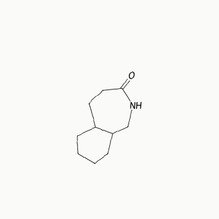 O=C1CCC2CCCCC2CN1